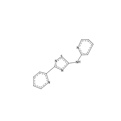 c1ccc(Nc2nc(-c3ccccn3)ns2)nc1